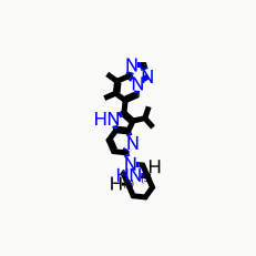 Cc1c(-c2[nH]c3ccc(N4C[C@H]5CCC[C@@H](C4)N5)nc3c2C(C)C)cn2ncnc2c1C